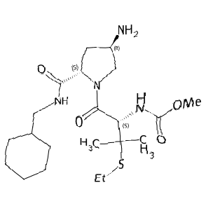 CCSC(C)(C)[C@@H](NC(=O)OC)C(=O)N1C[C@H](N)C[C@H]1C(=O)NCC1CCCCC1